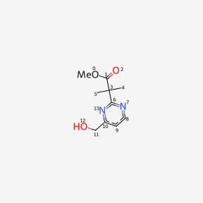 COC(=O)C(C)(C)c1nccc(CO)n1